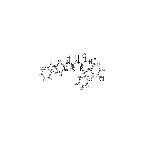 CN1C(=O)C(NC(=S)Nc2ccc3c(c2)CC2CC=CC=C32)N=C(c2ccccc2)c2cc(Cl)ccc21